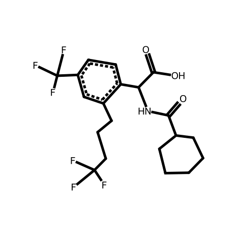 O=C(NC(C(=O)O)c1ccc(C(F)(F)F)cc1CCCC(F)(F)F)C1CCCCC1